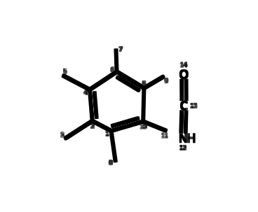 Cc1c(C)c(C)c(C)c(C)c1C.N=C=O